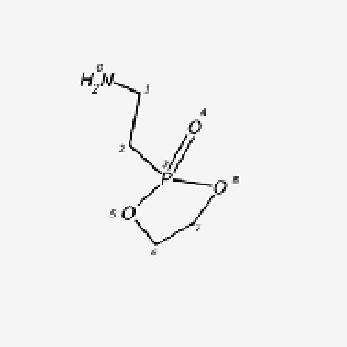 NCCP1(=O)OCCO1